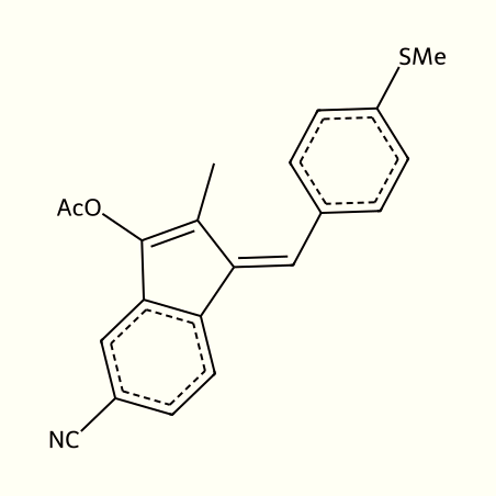 CSc1ccc(C=C2C(C)=C(OC(C)=O)c3cc(C#N)ccc32)cc1